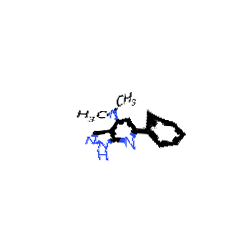 CN(C)c1cc(-c2ccccc2)nc2[nH]ncc12